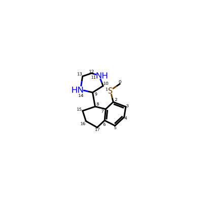 CSc1cccc2c1C(C1CNCCN1)CCC2